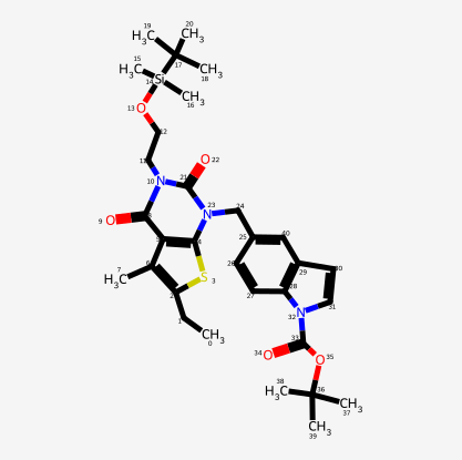 CCc1sc2c(c1C)c(=O)n(CCO[Si](C)(C)C(C)(C)C)c(=O)n2Cc1ccc2c(ccn2C(=O)OC(C)(C)C)c1